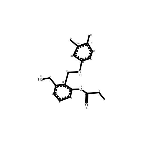 CCC(=O)Oc1cccc(CS)c1COc1ccc(C)c(C)c1